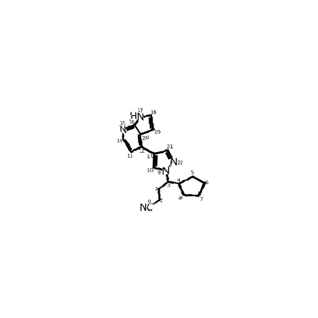 N#CCCC(C1CCCC1)n1cc(-c2ccnc3[nH]ccc23)cn1